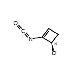 O=C=NC1=CC[C@H]1Cl